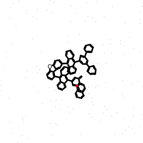 C=C(/C=C(\C=C(/C)c1ccccc1)c1c2ccccc2c(-c2cccc3oc4ccc(-c5c6ccccc6c(-c6cc(-c7ccccc7)cc(-c7ccccc7)c6)c6ccccc56)cc4c23)c2ccccc12)c1ccccc1